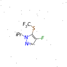 CC(C)n1n[c]c(F)c1SC(F)(F)F